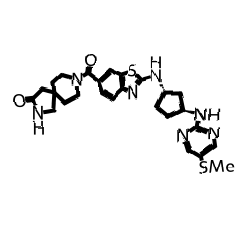 CSc1cnc(N[C@H]2CC[C@H](Nc3nc4ccc(C(=O)N5CCC6(CC5)CNC(=O)C6)cc4s3)C2)nc1